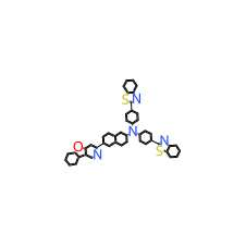 c1ccc2sc(-c3ccc(N(c4ccc(-c5nc6ccccc6s5)cc4)c4ccc5cc(-c6cc7oc8ccccc8c7cn6)ccc5c4)cc3)nc2c1